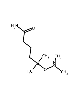 C[SiH](C)O[Si](C)(C)CCCC(N)=O